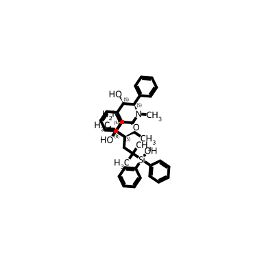 CC[C@@H](CC(C)(C)[Si](O)(c1ccccc1)c1ccccc1)[C@@](C)(O)[C@H](N)C(=O)N(C)[C@@H](c1ccccc1)[C@@H](O)c1ccccc1